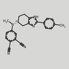 Cc1ccc(-c2nc3c([nH]2)CC[C@@H](N(C)c2ccc(C#N)c(C#N)c2)C3)cc1